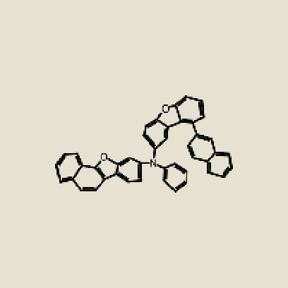 c1ccc(N(c2ccc3c(c2)oc2c4ccccc4ccc32)c2ccc3oc4cccc(-c5ccc6ccccc6c5)c4c3c2)cc1